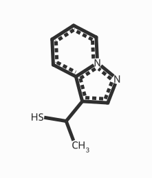 CC(S)c1cnn2ccccc12